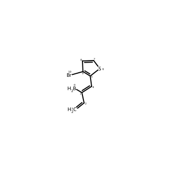 B/C(C=C)=C\c1sccc1Br